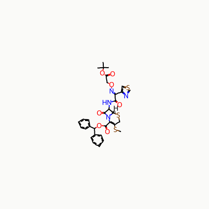 CSC1=C(C(=O)OC(c2ccccc2)c2ccccc2)N2C(=O)C(NC(=O)C(=NOCC(=O)OC(C)(C)C)c3cscn3)[C@@H]2SC1